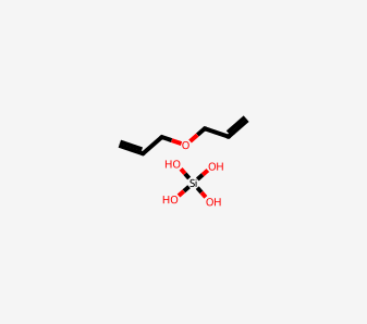 C=CCOCC=C.O[Si](O)(O)O